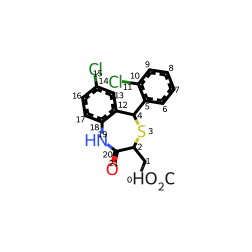 O=C(O)CC1SC(c2ccccc2Cl)c2cc(Cl)ccc2NC1=O